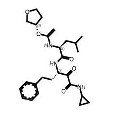 C=C(N[C@@H](CC(C)C)C(=O)N[C@@H](CCc1ccccc1)C(=O)C(=O)NC1CC1)O[C@H]1CCOC1